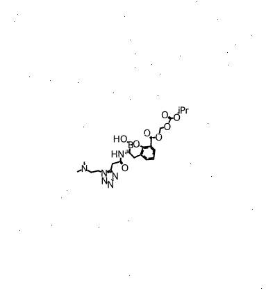 CC(C)OC(=O)OCOC(=O)c1cccc2c1OB(O)[C@@H](NC(=O)Cc1nnnn1CCN(C)C)C2